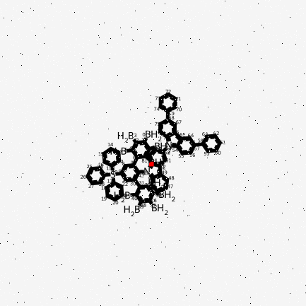 Bc1c(B)c(B)c(-c2cc(S(c3ccccc3)(c3ccccc3)c3ccccc3)cc(-c3c(B)c(B)c(B)c(B)c3B)c2-n2c3ccccc3c3cc(-n4c5ccc(-c6ccccc6)cc5c5cc(-c6ccccc6)ccc54)ccc32)c(B)c1B